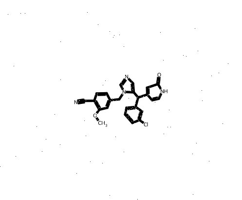 COc1cc(Cn2cncc2C(c2cccc(Cl)c2)c2cc[nH]c(=O)c2)ccc1C#N